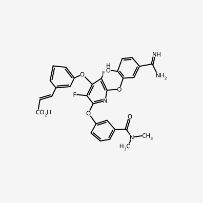 CN(C)C(=O)c1cccc(Oc2nc(Oc3cc(C(=N)N)ccc3O)c(F)c(Oc3cccc(/C=C/C(=O)O)c3)c2F)c1